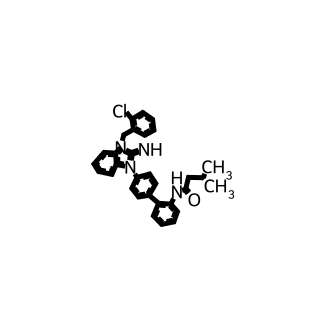 CC(C)CC(=O)Nc1ccccc1-c1ccc(-n2c(=N)n(Cc3ccccc3Cl)c3ccccc32)cc1